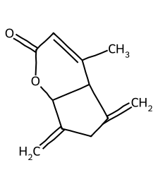 C=C1CC(=C)C2C(C)=CC(=O)OC12